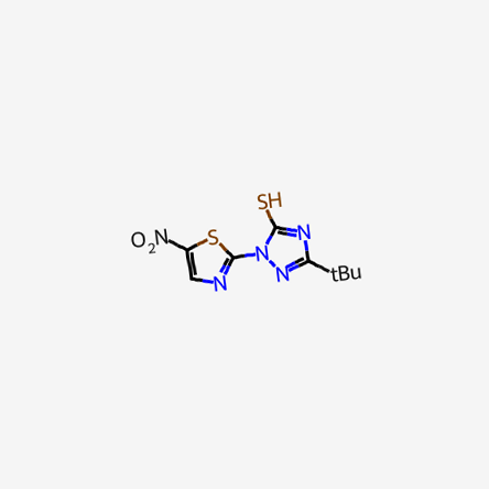 CC(C)(C)c1nc(S)n(-c2ncc([N+](=O)[O-])s2)n1